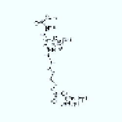 CCCCCCCC(CCCCCCC)OC(=O)CCCCCCCNCC(CN1CCCC1=O)O[Si](C)(C)C(C)(C)C